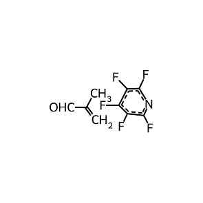 C=C(C)C=O.Fc1nc(F)c(F)c(F)c1F